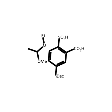 CCCCCCCCCCc1ccc(S(=O)(=O)O)c(C(=O)O)c1.CCOC(C)OC